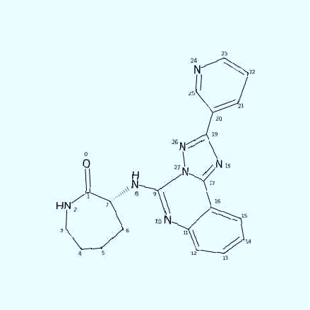 O=C1NCCCC[C@H]1Nc1nc2ccccc2c2nc(-c3cccnc3)nn12